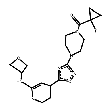 O=C(N1CCN(c2noc(C3C=C(NC4COC4)NCC3)n2)CC1)C1(F)CC1